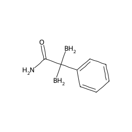 BC(B)(C(N)=O)c1ccccc1